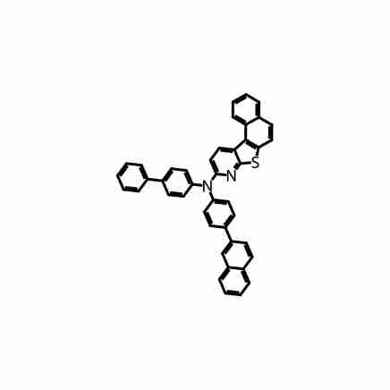 c1ccc(-c2ccc(N(c3ccc(-c4ccc5ccccc5c4)cc3)c3ccc4c(n3)sc3ccc5ccccc5c34)cc2)cc1